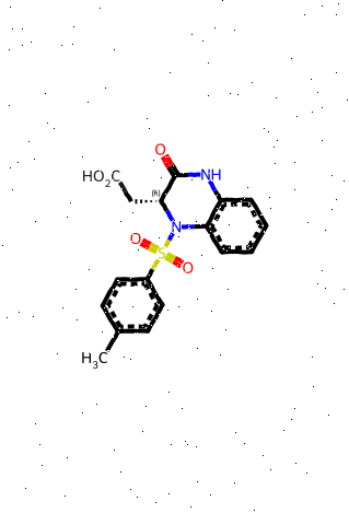 Cc1ccc(S(=O)(=O)N2c3ccccc3NC(=O)[C@H]2CC(=O)O)cc1